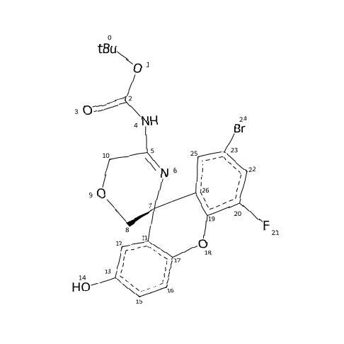 CC(C)(C)OC(=O)NC1=N[C@@]2(COC1)c1cc(O)ccc1Oc1c(F)cc(Br)cc12